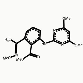 CON=C(C)c1cccc(Nc2nc(OC)cc(OC)n2)c1C(=O)OC